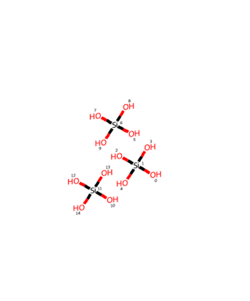 O[Si](O)(O)O.O[Si](O)(O)O.O[Si](O)(O)O